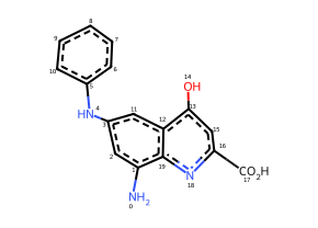 Nc1cc(Nc2ccccc2)cc2c(O)cc(C(=O)O)nc12